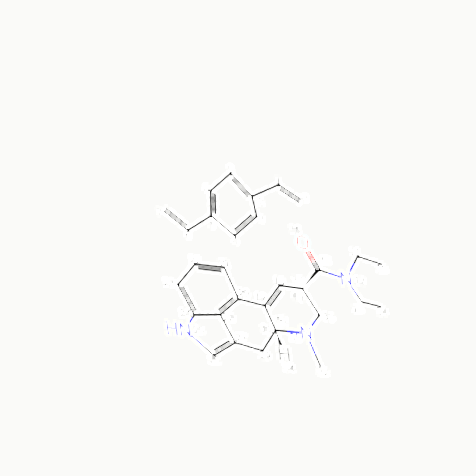 C=Cc1ccc(C=C)cc1.CCN(CC)C(=O)[C@@H]1C=C2c3cccc4[nH]cc(c34)C[C@H]2N(C)C1